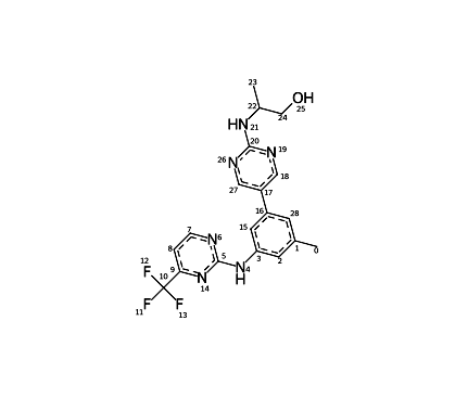 Cc1cc(Nc2nccc(C(F)(F)F)n2)cc(-c2cnc(NC(C)CO)nc2)c1